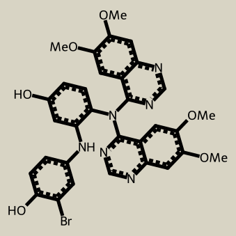 COc1cc2ncnc(N(c3ccc(O)cc3Nc3ccc(O)c(Br)c3)c3ncnc4cc(OC)c(OC)cc34)c2cc1OC